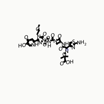 COCCn1c(-c2cc(=O)c(O)c[nH]2)nn(S(=O)(=O)NC(=O)N2C[C@H](NC(=O)/C(=N\OC(C)(C)C(=O)O)c3csc(N)n3)C2=O)c1=O